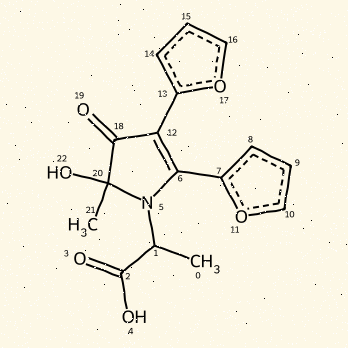 CC(C(=O)O)N1C(c2ccco2)=C(c2ccco2)C(=O)C1(C)O